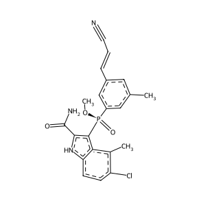 CO[P@](=O)(c1cc(C)cc(/C=C/C#N)c1)c1c(C(N)=O)[nH]c2ccc(Cl)c(C)c12